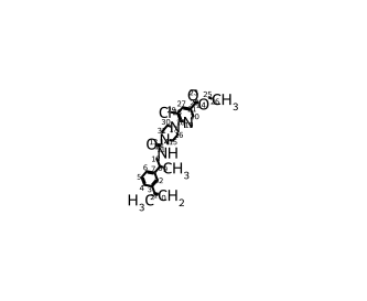 C=C(C)c1cccc(C(C)CNC(=O)N2CCN(c3ncc(C(=O)OCC)cc3Cl)CC2)c1